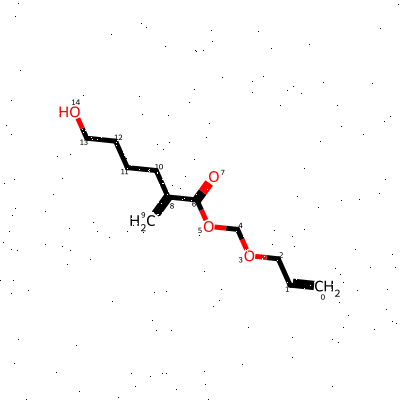 C=CCOCOC(=O)C(=C)CCCCO